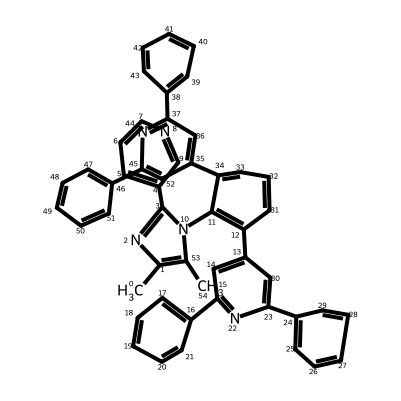 Cc1nc(-c2cccnc2)n(-c2c(-c3cc(-c4ccccc4)nc(-c4ccccc4)c3)cccc2-c2cc(-c3ccccc3)nc(-c3ccccc3)c2)c1C